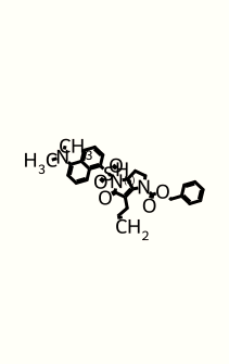 C=CCC1=C2[C@H](CCN2C(=O)OCc2ccccc2)N(S(=O)(=O)c2cccc3c(N(C)C)cccc23)C1=O